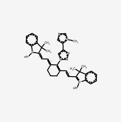 CCCN1/C(=C/C=C2\CCCC(/C=C/C3=[N+](CCC)c4ccccc4C3(C)C)=C2n2cc(-c3cncn3C)nn2)C(C)(C)c2ccccc21